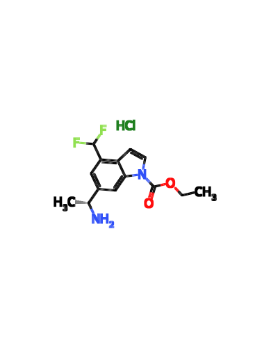 CCOC(=O)n1ccc2c(C(F)F)cc([C@@H](C)N)cc21.Cl